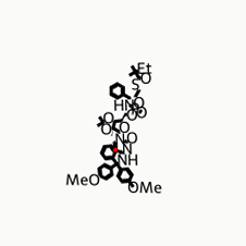 CCC(C)(C)C(=O)SCCOP(=O)(NCc1ccccc1)OC[C@H]1O[C@H](n2ccc(NC(c3ccccc3)(c3ccc(OC)cc3)c3ccc(OC)cc3)nc2=O)[C@@]2(C)OC(C)(C)OC12